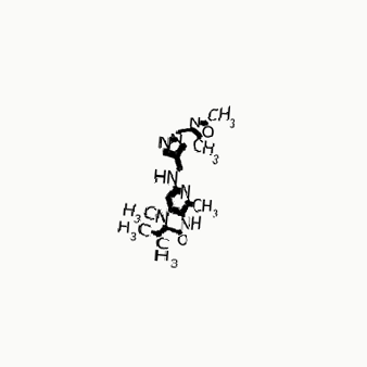 Cc1nc(Cn2cc(CNc3cc4c(c(C)n3)NC(=O)C(C(C)C)N4C)cn2)c(C)o1